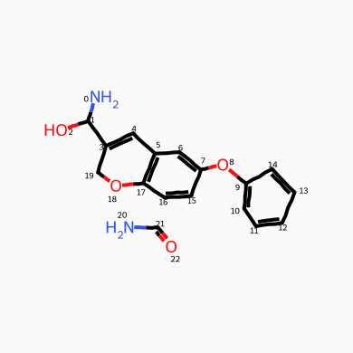 NC(O)C1=Cc2cc(Oc3ccccc3)ccc2OC1.NC=O